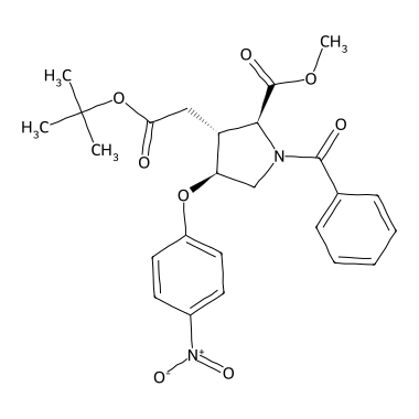 COC(=O)[C@@H]1[C@@H](CC(=O)OC(C)(C)C)[C@H](Oc2ccc([N+](=O)[O-])cc2)CN1C(=O)c1ccccc1